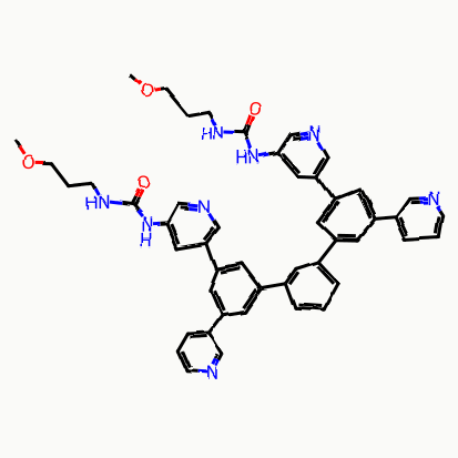 COCCCNC(=O)Nc1cncc(-c2cc(-c3cccnc3)cc(-c3cccc(-c4cc(-c5cccnc5)cc(-c5cncc(NC(=O)NCCCOC)c5)c4)c3)c2)c1